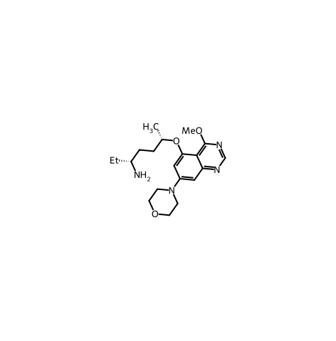 CC[C@@H](N)CC[C@H](C)Oc1cc(N2CCOCC2)cc2ncnc(OC)c12